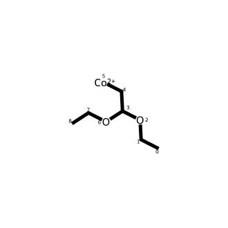 CCOC([CH2][Co+2])OCC